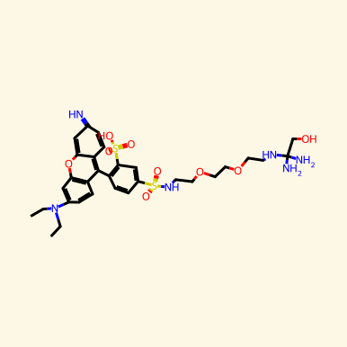 CCN(CC)c1ccc2c(-c3ccc(S(=O)(=O)NCCOCCOCCNC(N)(N)CO)cc3S(=O)(=O)O)c3ccc(=N)cc-3oc2c1